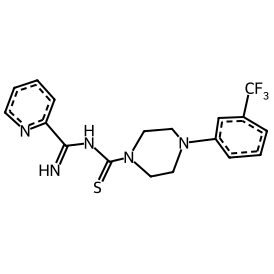 N=C(NC(=S)N1CCN(c2cccc(C(F)(F)F)c2)CC1)c1ccccn1